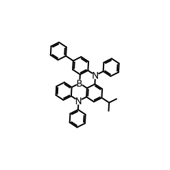 CC(C)c1cc2c3c(c1)N(c1ccccc1)c1ccc(-c4ccccc4)cc1B3c1ccccc1N2c1ccccc1